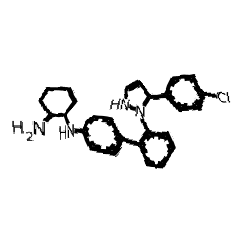 NC1CCCCC1Nc1ccc(-c2ccccc2N2NC=CC2c2ccc(Cl)cc2)cc1